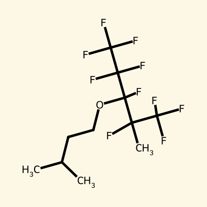 CC(C)CCOC(F)(C(C)(F)C(F)(F)F)C(F)(F)C(F)(F)F